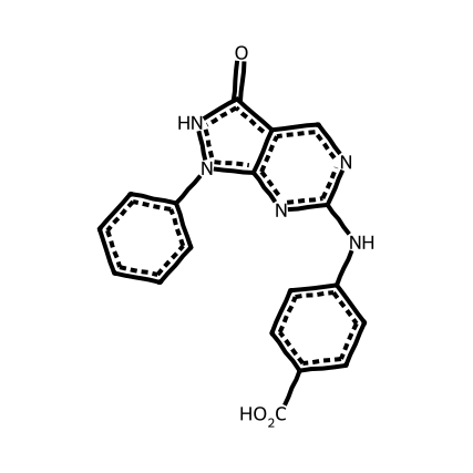 O=C(O)c1ccc(Nc2ncc3c(=O)[nH]n(-c4ccccc4)c3n2)cc1